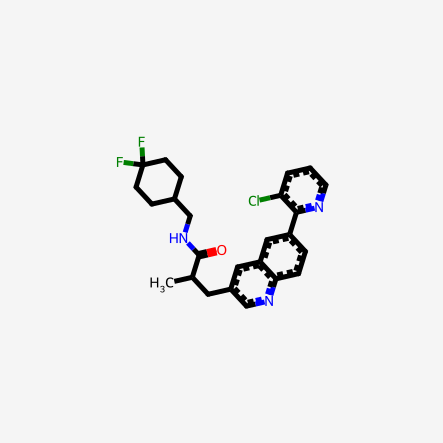 CC(Cc1cnc2ccc(-c3ncccc3Cl)cc2c1)C(=O)NCC1CCC(F)(F)CC1